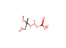 COCC(C)(OC)OOOC(=O)O